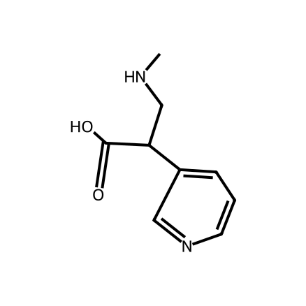 CNCC(C(=O)O)c1cccnc1